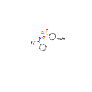 COc1ccc(S(=O)(=O)ON=C(c2ccccc2)C(F)(F)F)cc1